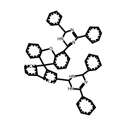 c1ccc(C2=NC(c3ccccc3)NC(c3cccc4c3Oc3ccccc3C43c4ccccc4-c4ccc(C5NC(c6ccccc6)=NC(c6ccccc6)N5)cc43)=N2)cc1